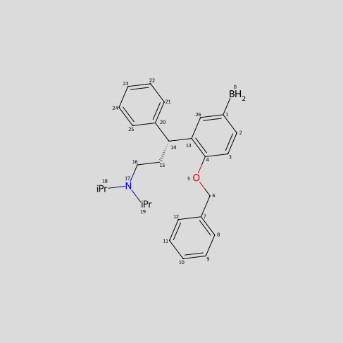 Bc1ccc(OCc2ccccc2)c([C@H](CCN(C(C)C)C(C)C)c2ccccc2)c1